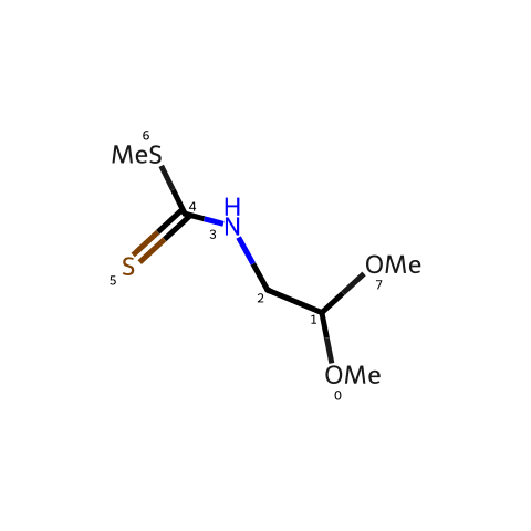 COC(CNC(=S)SC)OC